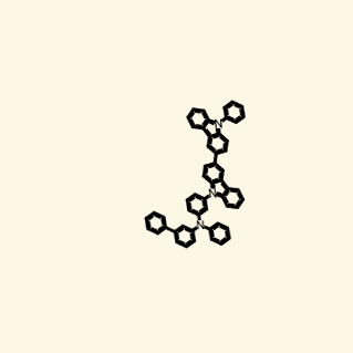 c1ccc(-c2cccc(N(c3ccccc3)c3cccc(-n4c5ccccc5c5cc(-c6ccc7c(c6)c6ccccc6n7-c6ccccc6)ccc54)c3)c2)cc1